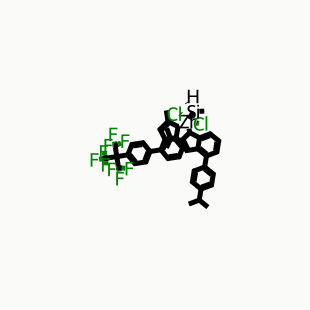 CC1=Cc2c(-c3ccc(C(C(F)(F)F)(C(F)(F)F)C(F)(F)F)cc3)cccc2[CH]1[Zr]([Cl])([Cl])([CH]1C(C(C)C)=Cc2c(-c3ccc(C(C)C)cc3)cccc21)[SiH](C)C